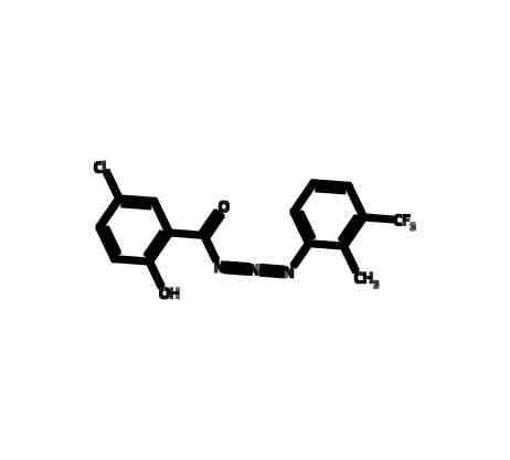 Cc1c(N=[N+]=NC(=O)c2cc(Cl)ccc2O)cccc1C(F)(F)F